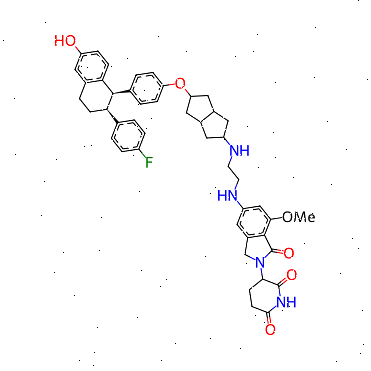 COc1cc(NCCNC2CC3CC(Oc4ccc([C@@H]5c6ccc(O)cc6CC[C@@H]5c5ccc(F)cc5)cc4)CC3C2)cc2c1C(=O)N(C1CCC(=O)NC1=O)C2